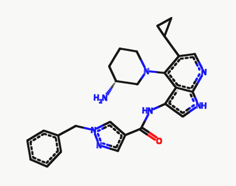 N[C@@H]1CCCN(c2c(C3CC3)cnc3[nH]cc(NC(=O)c4cnn(Cc5ccccc5)c4)c23)C1